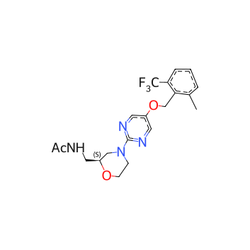 CC(=O)NC[C@H]1CN(c2ncc(OCc3c(C)cccc3C(F)(F)F)cn2)CCO1